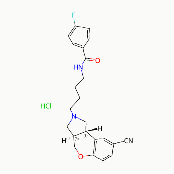 Cl.N#Cc1ccc2c(c1)[C@H]1CN(CCCCNC(=O)c3ccc(F)cc3)C[C@@H]1CO2